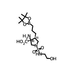 CC1(C)OB(CCC[C@H]2CN(S(=O)(=O)NCCO)C[C@@]2(N)C(=O)O)OC1(C)C